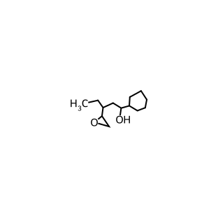 CCC(CC(O)C1CCCCC1)C1CO1